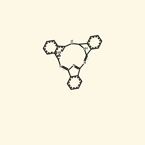 c1ccc2c(c1)C1=NC/2=N\c2[nH]c(c3ccccc23)NC2N/C(=N\1)c1ccccc12